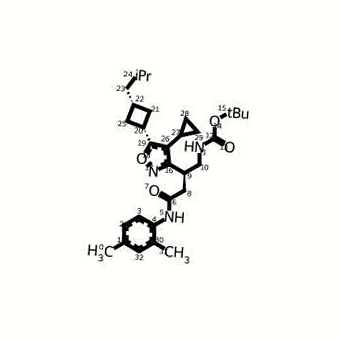 Cc1ccc(NC(=O)C[C@H](CNC(=O)OC(C)(C)C)c2noc([C@H]3C[C@@H](CC(C)C)C3)c2C2CC2)c(C)c1